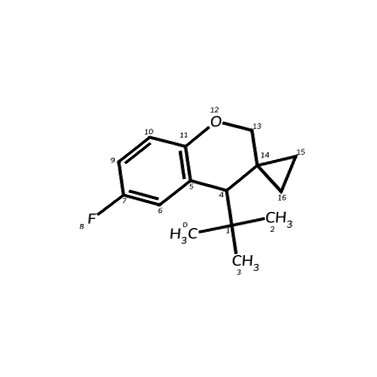 CC(C)(C)C1c2cc(F)ccc2OCC12CC2